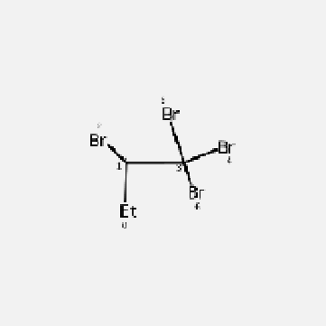 CC[C](Br)C(Br)(Br)Br